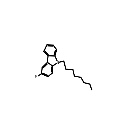 CCCCCCCCn1c2ccccc2c2cc(Br)ccc21